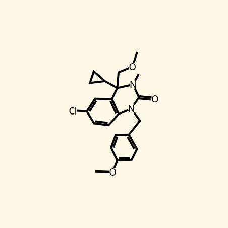 COCC1(C2CC2)c2cc(Cl)ccc2N(Cc2ccc(OC)cc2)C(=O)N1C